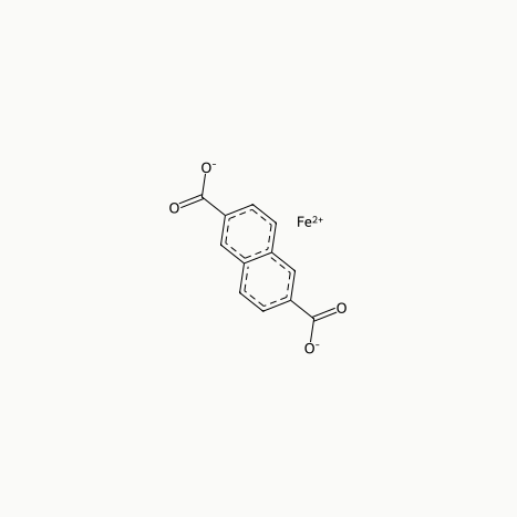 O=C([O-])c1ccc2cc(C(=O)[O-])ccc2c1.[Fe+2]